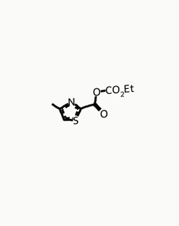 CCOC(=O)OC(=O)c1nc(C)cs1